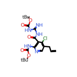 C=CCc1cnc(NC(=O)OC(C)(C)C)c(C(=O)NC(=N)NC(=O)OC(C)(C)C)c1Cl